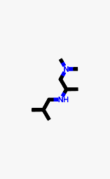 CC(C)CNC(C)CN(C)C